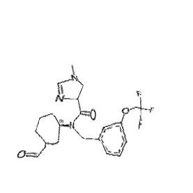 CN1C=NC(C(=O)N(Cc2cccc(OC(F)(F)F)c2)[C@@H]2CCCC(C=O)C2)C1